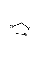 BrI.ClCCl